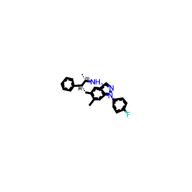 Cc1cc2c(cnn2-c2ccc(F)cc2)cc1C[C@H](c1ccccc1)[C@H](C)N